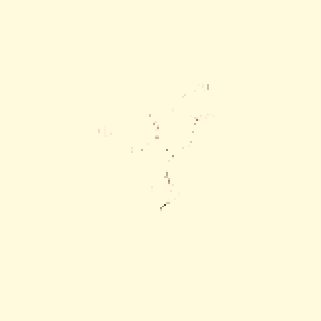 CC(C)(C)OC(=O)CN(C(=O)OC(C)(C)C)C12CC(C(F)(F)F)(C1)C2